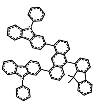 CC1(C)c2ccccc2-c2cccc(-c3c4cccc(-c5ccc6c7ccccc7n(-c7ccccc7)c6c5)c4cc4c(-c5ccc6c7ccccc7n(-c7ccccc7)c6c5)cccc34)c21